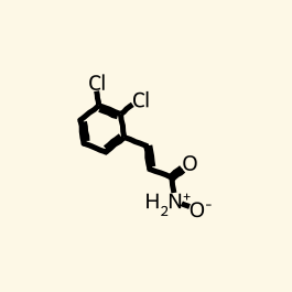 O=C(C=Cc1cccc(Cl)c1Cl)[NH2+][O-]